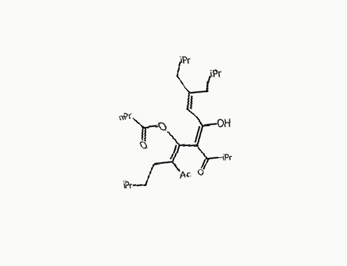 CCCC(=O)OC(/C(C(=O)C(C)C)=C(/O)C=C(CC(C)C)CC(C)C)=C(\CCC(C)C)C(C)=O